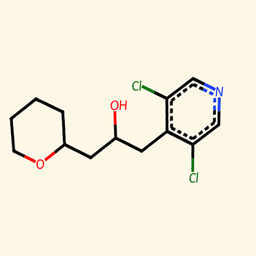 OC(Cc1c(Cl)cncc1Cl)CC1CCCCO1